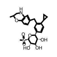 CC1CNc2cc(Cc3cc([C@@H]4O[C@H](S(C)(=O)=O)[C@@H](O)[C@H](O)[C@H]4O)ccc3C3CC3)ccc2O1